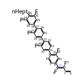 C=C/C(F)=C(\F)c1ccc(-c2ccc(-c3ccc(-c4cc(F)c(CCCCCCC)c(F)c4)c(F)c3)c(F)c2)c(F)c1